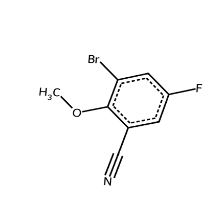 COc1c(Br)cc(F)cc1C#N